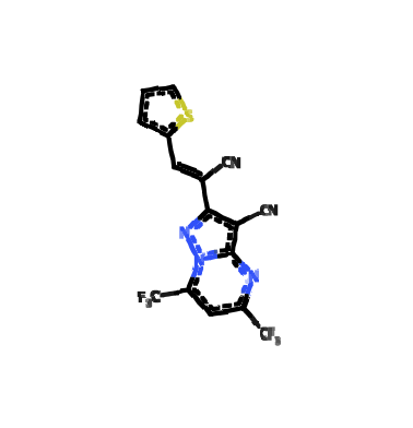 N#CC(=Cc1cccs1)c1nn2c(C(F)(F)F)cc(C(F)(F)F)nc2c1C#N